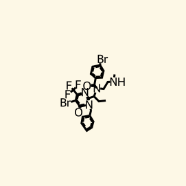 CCC(c1nc(C(F)(F)F)c(Br)c(=O)n1Cc1ccccc1)N(CCNC)C(=O)c1ccc(Br)cc1